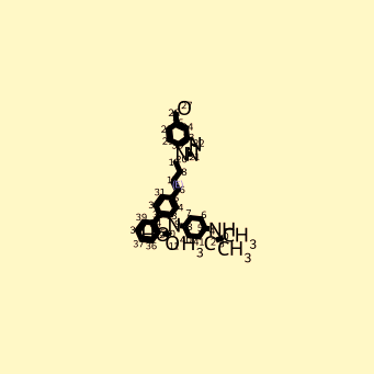 CC(C)(C)NC1CCC(N(C(=O)O)c2cc(/C=C/CCn3nnc4cc(C=O)ccc43)ccc2-c2ccccc2)CC1